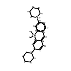 C[Si]1(C)C2=CC(C3CCCCC3)C=CC2=Cc2ccc(N3CCCCC3)cc21